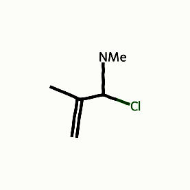 C=C(C)C(Cl)NC